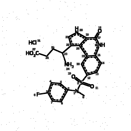 CN(c1ccc(F)cc1)S(=O)(=O)c1ccc2[nH]c(=O)c3[nH]cc(C(N)CCC(=O)O)c3c2c1.Cl